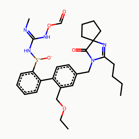 CCCCC1=NC2(CCCC2)C(=O)N1Cc1ccc(-c2ccccc2[S+]([O-])N/C(=N/C)NOC=O)c(COCC)c1